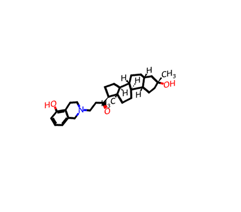 C[C@@]1(O)CC[C@H]2[C@H](CC[C@@H]3[C@@H]2CC[C@]2(C)[C@@H](C(=O)CCN4CCc5c(O)cccc5C4)CC[C@@H]32)C1